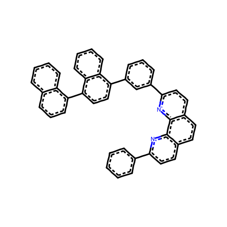 c1ccc(-c2ccc3ccc4ccc(-c5cccc(-c6ccc(-c7cccc8ccccc78)c7ccccc67)c5)nc4c3n2)cc1